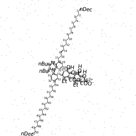 CCCCCCCCCCCCCCCCCCCCCCCC=CCCc1ccccc1N=C(CCCC)C(CCCC)=Nc1ccc(CCCCCCCCCCCCCCCCCCCCCCCCCCC)cc1.CCc1ccc(O)c(O)c1C(=O)[O-].CCc1ccc(O)c(O)c1C(=O)[O-].[Ni+2]